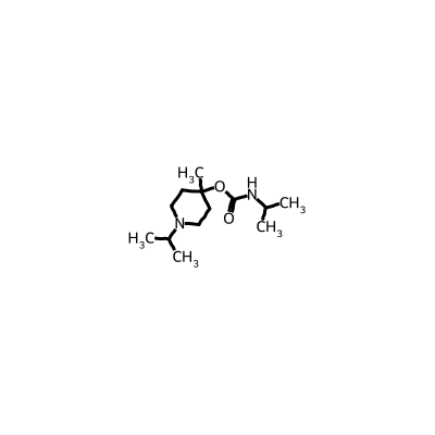 CC(C)NC(=O)OC1(C)CCN(C(C)C)CC1